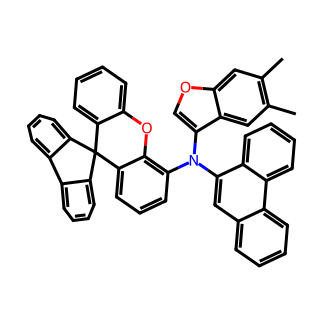 Cc1cc2occ(N(c3cccc4c3Oc3ccccc3C43c4ccccc4-c4ccccc43)c3cc4ccccc4c4ccccc34)c2cc1C